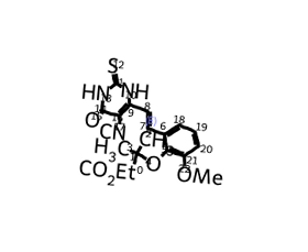 CCOC(=O)C(C)(C)Oc1c(/C=C/c2[nH]c(=S)[nH]c(=O)c2C#N)cccc1OC